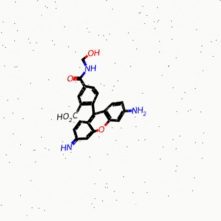 N=c1ccc2c(-c3ccc(C(=O)NCO)cc3C(=O)O)c3ccc(N)cc3oc-2c1